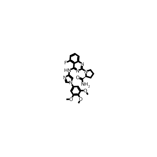 COc1cc(-n2cnc(Nc3nc(N4CCC[C@H]4C(N)=O)nc4cccc(F)c34)c2)cc(OC)c1OC